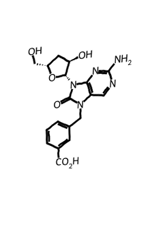 Nc1ncc2c(n1)n([C@@H]1O[C@H](CO)C[C@H]1O)c(=O)n2Cc1cccc(C(=O)O)c1